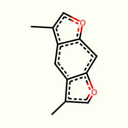 Cc1coc2cc3occ(C)c3cc12